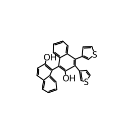 Oc1ccc2ccccc2c1-c1c(O)c(-c2ccsc2)c(-c2ccsc2)c2ccccc12